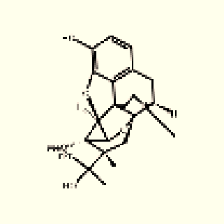 CCCC(C)(O)[C@H]1C[C@@]23C[C@@]45Oc6c(O)ccc7c6[C@@]2(CCN(C)[C@@H]3C7)[C@@H]4[C@]15OC